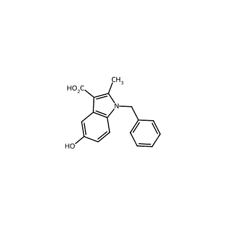 Cc1c(C(=O)O)c2cc(O)ccc2n1Cc1ccccc1